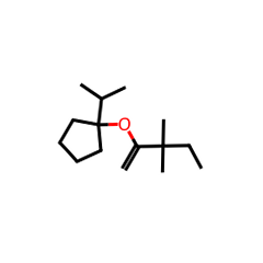 C=C(OC1(C(C)C)CCCC1)C(C)(C)CC